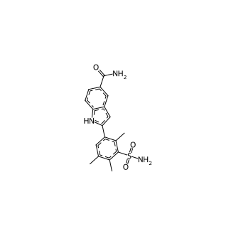 Cc1cc(-c2cc3cc(C(N)=O)ccc3[nH]2)c(C)c(S(N)(=O)=O)c1C